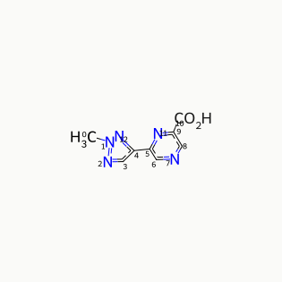 Cn1ncc(-c2cncc(C(=O)O)n2)n1